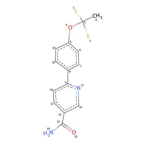 CC(F)(F)Oc1ccc(-c2ccc(C(N)=O)cn2)cc1